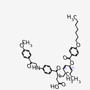 CCCCCCCOc1ccc(C(=O)OC(/C=C\CCN(CC(=O)O)C(=O)c2ccc(NCC(=O)c3ccc(OC)cc3)cc2)=C/C(C)C)cc1